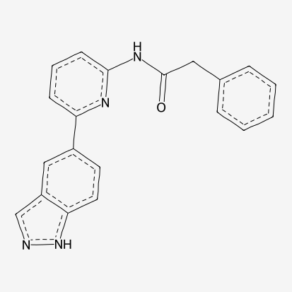 O=C(Cc1ccccc1)Nc1cccc(-c2ccc3[nH]ncc3c2)n1